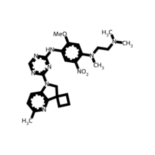 COc1cc(N(C)CCN(C)C)c([N+](=O)[O-])cc1Nc1ncnc(N2CC3(CCC3)c3nc(C)ccc32)n1